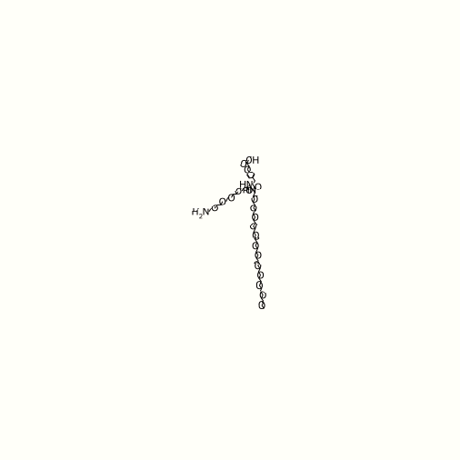 COCCOCCOCCOCCOCCOCCOCCOCCOCCOCCOCCOCCNC(=O)C(Cc1ccc(OCC(=O)O)cc1)NC(=O)CCOCCOCCOCCOCCN